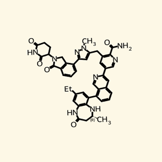 CCc1cc2c(c(-c3cccc4cc(-c5cnc(C(N)=O)c(Cc6cc(-c7cccc8c7CN(C7CCC(=O)NC7=O)C8=O)nn6C)c5)ncc34)c1)N[C@H](C)CC(=O)N2